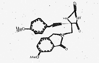 COc1ccc(C#C[C@]2(CN3Cc4ccc(OC)cc4C3=O)NC(=O)NC2=O)cc1